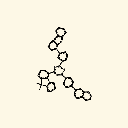 CC1(C)c2ccccc2-c2c(-c3nc(-c4ccc(-c5ccc6ccccc6c5)cc4)nc(-c4cccc(-c5cccc6c5sc5ccccc56)c4)n3)cccc21